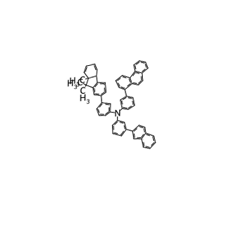 CC1(C)c2cc(-c3cccc(N(c4cccc(-c5ccc6ccccc6c5)c4)c4cccc(-c5cccc6c5ccc5ccccc56)c4)c3)ccc2C2C=CC=CC21C